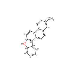 Cc1ccc2c(ccc3c2ccc2oc4ccccc4c23)c1